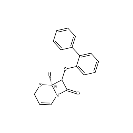 O=C1C(Sc2ccccc2-c2ccccc2)[C@@H]2SCC=CN12